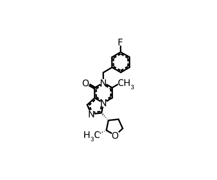 Cc1cn2c([C@@H]3CCO[C@@H]3C)ncc2c(=O)n1Cc1cccc(F)c1